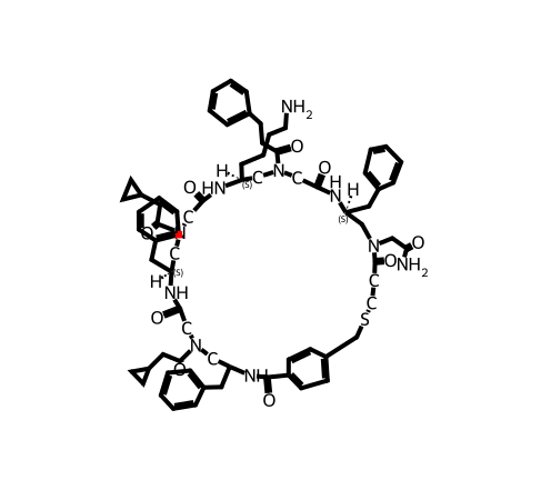 NCCCC[C@H]1CN(C(=O)CCc2ccccc2)CC(=O)N[C@@H](Cc2ccccc2)CN(CC(N)=O)C(=O)CCSCc2ccc(cc2)C(=O)NC(Cc2ccccc2)CN(C(=O)CC2CC2)CC(=O)N[C@@H](Cc2ccccc2)CN(C(=O)CC2CC2)CC(=O)N1